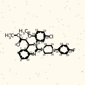 COC(=O)CC1c2ccccc2N=C(N2CCN(c3ccc(F)cc3)CC2)N1c1cc(Cl)ccc1OC